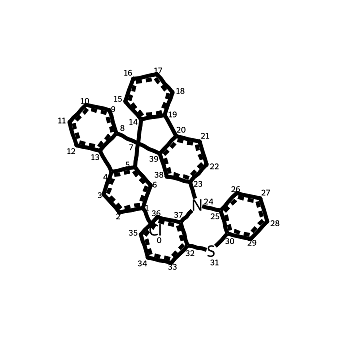 Clc1ccc2c(c1)C1(c3ccccc3-2)c2ccccc2-c2ccc(N3c4ccccc4Sc4ccccc43)cc21